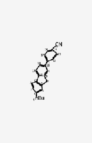 CCCCc1ccc2c(c1)Cc1cc(-c3ccc(C#N)cc3)ccc1-2